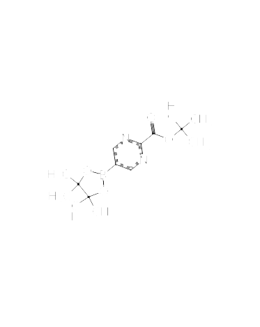 CC(C)(C)OC(=O)c1ncc(B2OC(C)(C)C(C)(C)O2)cn1